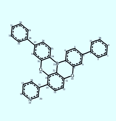 c1ccc(-c2ccc3c(c2)Oc2ccc(-c4cccnc4)c4c2B3c2ccc(-c3ccccc3)cc2O4)cc1